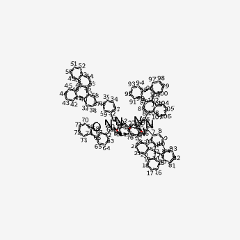 c1ccc(-c2nc(-c3ccc4c(c3)C3(c5ccccc5-c5ccc(-c6cccc(-c7nc(-c8cccc(-c9ccc%10c%11ccccc%11c%11c%12ccccc%12ccc%11c%10c9)c8)nc(-c8cccc9c8oc8ccccc89)n7)c6)cc53)c3ccccc3-4)nc(-c3cc4c5ccccc5c5ccccc5c4c4ccccc34)n2)cc1